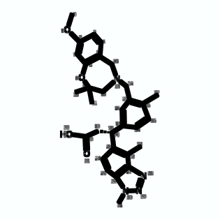 COc1ccc2c(c1)OC(C)(C)CN(Cc1cc([C@@H](CC(=O)O)c3ccc4c(nnn4C)c3C)ccc1C)C2